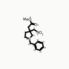 COC(=O)CC1(C[N+](=O)[O-])CCN(Cc2ccccc2)C1